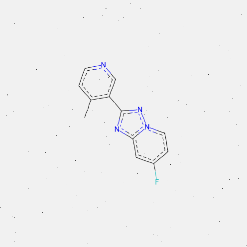 Cc1ccncc1-c1nc2cc(F)ccn2n1